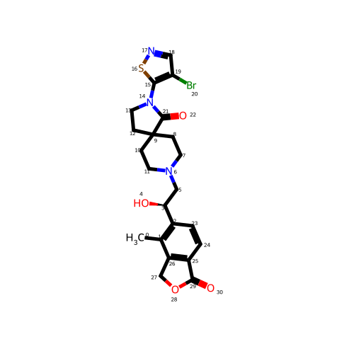 Cc1c([C@@H](O)CN2CCC3(CC2)CCN(c2sncc2Br)C3=O)ccc2c1COC2=O